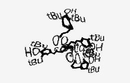 CC(C)(C)c1cc(CCC(=O)OCC(COC(=O)CCc2cc(C(C)(C)C)c(O)c(C(C)(C)C)c2)(CC(Cc2cc(C(C)(C)C)c(O)c(C(C)(C)C)c2)C(=O)O)CC(Cc2cc(C(C)(C)C)c(O)c(C(C)(C)C)c2)C(=O)O)cc(C(C)(C)C)c1O